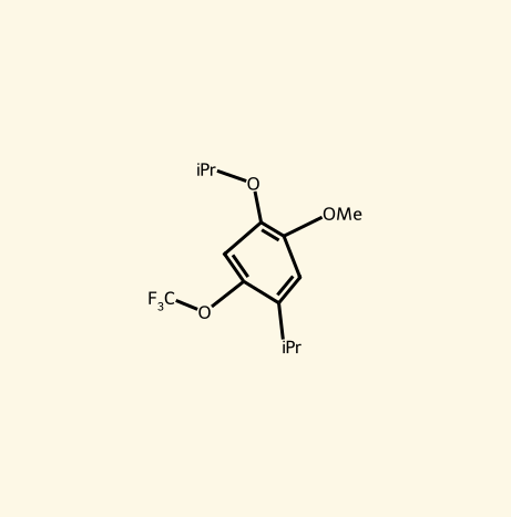 COc1cc(C(C)C)c(OC(F)(F)F)cc1OC(C)C